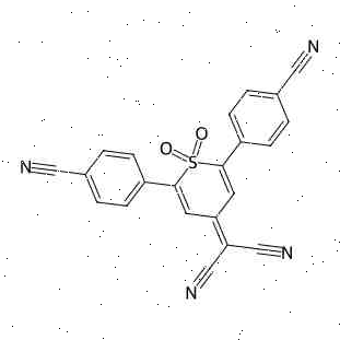 N#CC(C#N)=C1C=C(c2ccc(C#N)cc2)S(=O)(=O)C(c2ccc(C#N)cc2)=C1